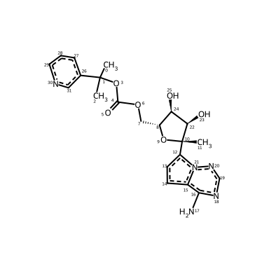 CC(C)(OC(=O)OC[C@H]1O[C@@](C)(c2ccc3c(N)ncnn23)[C@H](O)[C@@H]1O)c1cccnc1